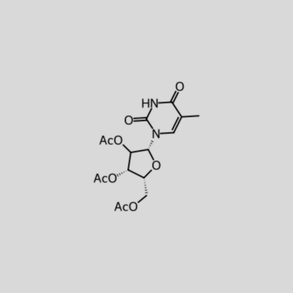 CC(=O)OC[C@H]1O[C@@H](n2cc(C)c(=O)[nH]c2=O)C(OC(C)=O)[C@H]1OC(C)=O